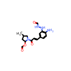 CC1CC(OC=O)N(C(=O)/C=C/c2ccc(N)c(NNC=O)c2)C1